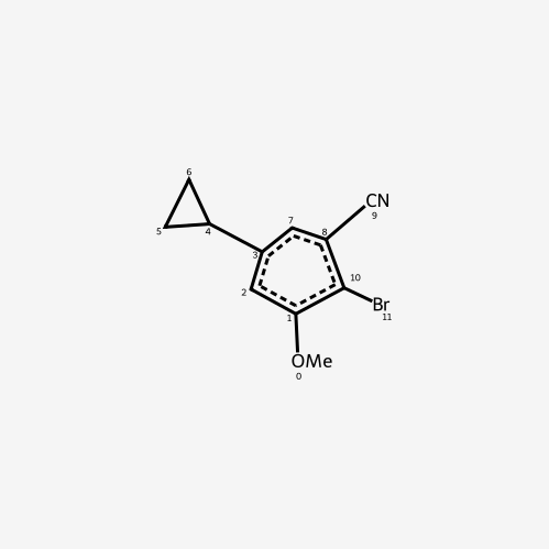 COc1cc(C2CC2)cc(C#N)c1Br